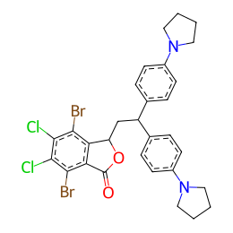 O=C1OC(CC(c2ccc(N3CCCC3)cc2)c2ccc(N3CCCC3)cc2)c2c(Br)c(Cl)c(Cl)c(Br)c21